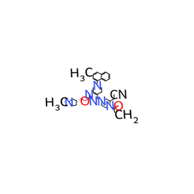 C=CC(=O)N1CCN(c2nc(OC[C@@H]3CCN(C)C3)nc3c2CCN(c2cc(C)cc4ccccc24)C3)CC1CC#N